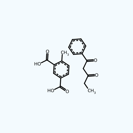 CCC(=O)CC(=O)c1ccccc1.Cc1ccc(C(=O)O)cc1C(=O)O